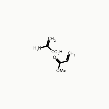 C=C(N)C(=O)O.C=CC(=O)OC